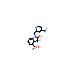 C[C@H](O)c1cccc2c1C(F)(F)C(=O)N2Cc1cc(C(F)F)ccn1